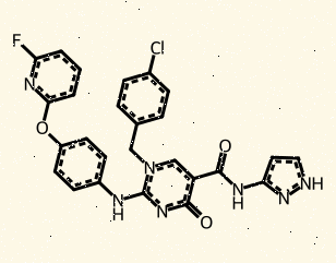 O=C(Nc1cc[nH]n1)c1cn(Cc2ccc(Cl)cc2)c(Nc2ccc(Oc3cccc(F)n3)cc2)nc1=O